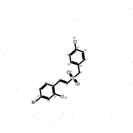 O=S(=O)(/C=C/c1ccc(Br)cc1Cl)Cc1ccc(Cl)cc1